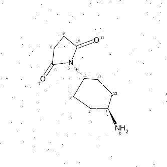 N[C@H]1CC[C@H](N2C(=O)CCC2=O)CC1